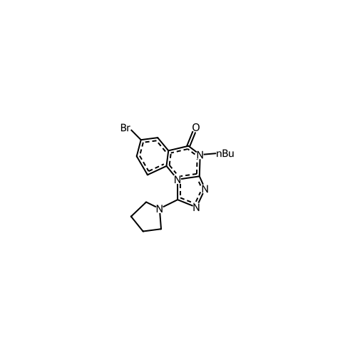 CCCCn1c(=O)c2cc(Br)ccc2n2c(N3CCCC3)nnc12